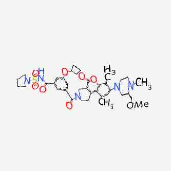 COC[C@H]1CN(c2cc(C)c3c4c(c(=O)oc3c2C)CN(C(=O)c2cc(OC3CCC3)cc(C(=O)NS(=O)(=O)N3CCCC3)c2)CC4)CCN1C